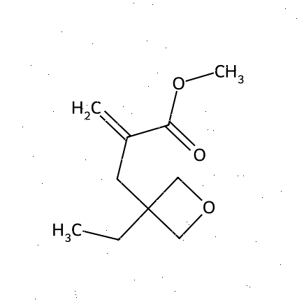 C=C(CC1(CC)COC1)C(=O)OC